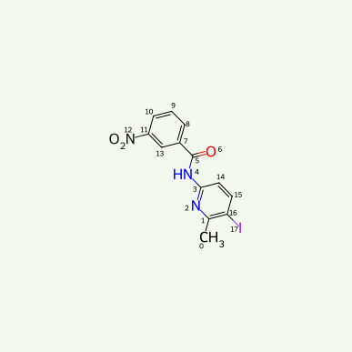 Cc1nc(NC(=O)c2cccc([N+](=O)[O-])c2)ccc1I